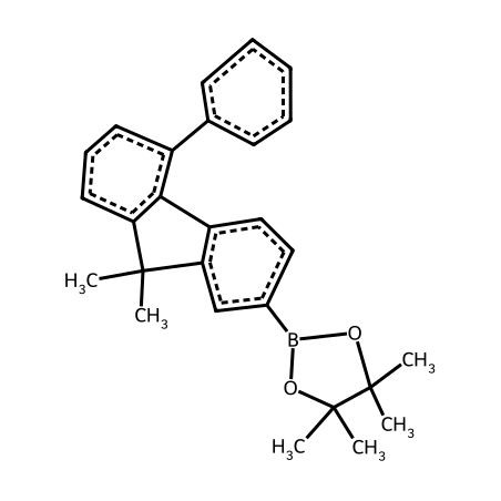 CC1(C)c2cc(B3OC(C)(C)C(C)(C)O3)ccc2-c2c(-c3ccccc3)cccc21